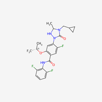 CC1NN(c2cc(O[C@@H](C)C(F)(F)F)c(C(=O)Nc3c(F)cccc3F)cc2F)C(=O)N1CC1CC1